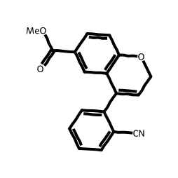 COC(=O)c1ccc2c(c1)C(c1ccccc1C#N)=CCO2